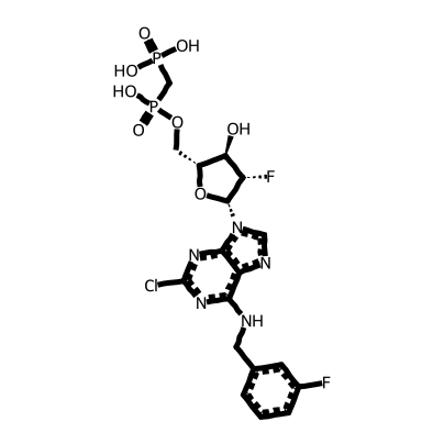 O=P(O)(O)CP(=O)(O)OC[C@H]1O[C@@H](n2cnc3c(NCc4cccc(F)c4)nc(Cl)nc32)[C@@H](F)[C@@H]1O